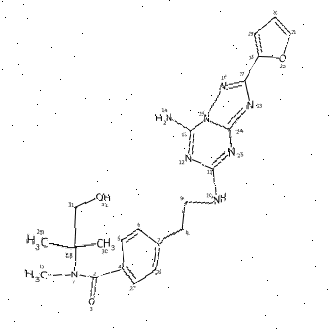 CN(C(=O)c1ccc(CCNc2nc(N)n3nc(-c4ccco4)nc3n2)cc1)C(C)(C)CO